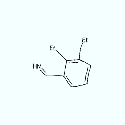 CCc1cccc(C=N)c1CC